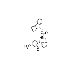 Cc1ccc(Sc2ccccc2CNC(=O)OCC2c3ccccc3-c3ccccc32)c(C=O)c1